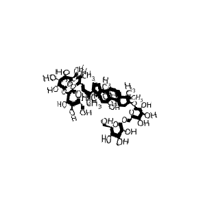 CC(CC[C@@H](O[C@@H]1O[C@H](CO)[C@@H](O)[C@H](O)[C@H]1O[C@H]1O[C@@H](CO)[C@H](O)[C@@H](O)[C@@H]1O)C(C)(C)O)[C@H]1CC[C@@]2(C)[C@H]3CC=C4[C@H](CC[C@H](O[C@@H]5O[C@H](CO[C@@H]6O[C@H](CO)[C@@H](O)[C@H](O)[C@H]6O)[C@@H](O)[C@H](O)[C@H]5O)C4(C)C)[C@]3(C)[C@H](O)C[C@]12C